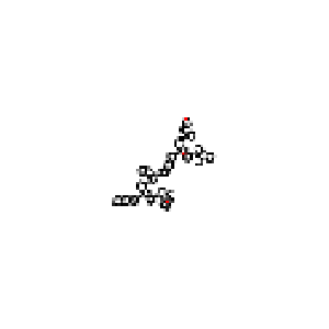 c1ccc2cc3cc(-c4c5cccc(-c6cccc7sc8ccccc8c67)c5cc5c(-c6ccc(-c7ccc8cc9cc(-c%10c%11cccc(-c%12cccc%13c%12sc%12ccccc%12%13)c%11cc%11c(-c%12cccc%13c%12sc%12ccccc%12%13)cccc%10%11)ccc9cc8c7)c7sc8ccccc8c67)cccc45)ccc3cc2c1